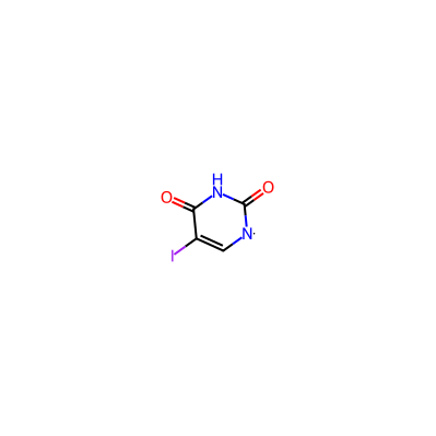 O=C1[N]C=C(I)C(=O)N1